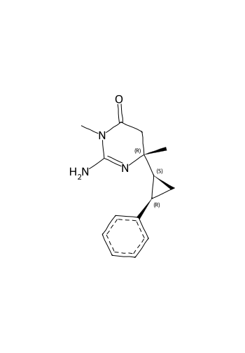 CN1C(=O)C[C@](C)([C@H]2C[C@H]2c2ccccc2)N=C1N